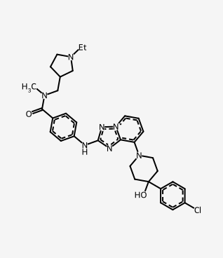 CCN1CCC(CN(C)C(=O)c2ccc(Nc3nc4c(N5CCC(O)(c6ccc(Cl)cc6)CC5)cccn4n3)cc2)C1